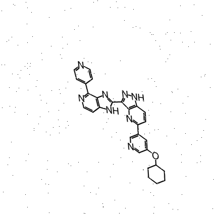 c1cc(-c2nccc3[nH]c(-c4n[nH]c5ccc(-c6cncc(OC7CCCCC7)c6)nc45)nc23)ccn1